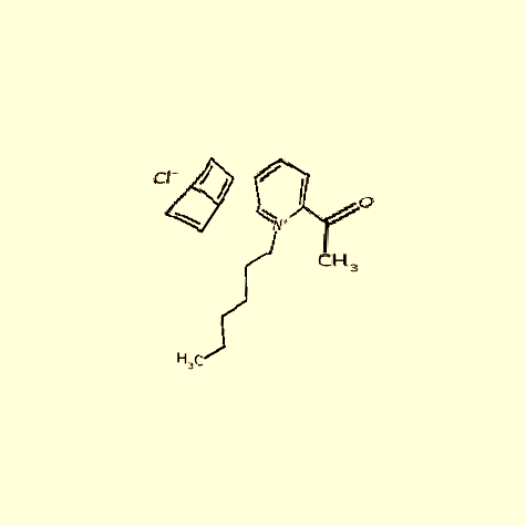 CCCCCC[n+]1ccccc1C(C)=O.[Cl-].c1cc2ccc1-2